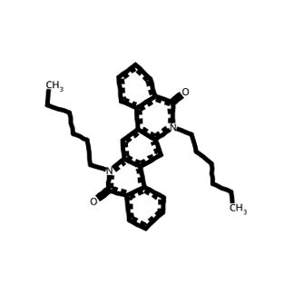 CCCCCCn1c(=O)c2ccccc2c2cc3c(cc21)c1ccccc1c(=O)n3CCCCCC